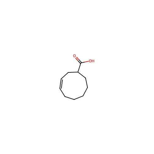 O=C(O)C1CC=CCCCCC1